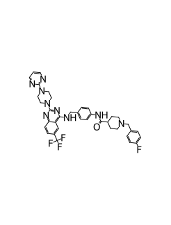 O=C(Nc1ccc(CNc2nc(N3CCN(c4ncccn4)CC3)nc3ccc(C(F)(F)F)cc23)cc1)C1CCN(Cc2ccc(F)cc2)CC1